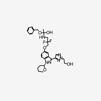 CC(O)(NCC(F)(F)COc1ccc2c(c1)c(-c1cnn(CCO)n1)nn2C1CCCCO1)OCc1ccccc1